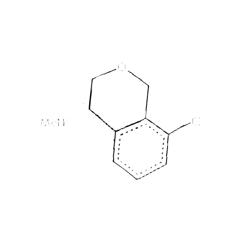 CN[C@@H]1COCc2c(Cl)cccc21